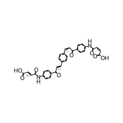 O=C(O)/C=C\C(=O)Nc1ccc(C(=O)/C=C\c2ccc(/C=C/C(=O)c3ccc(NC(=O)/C=C/C(=O)O)cc3)cc2)cc1